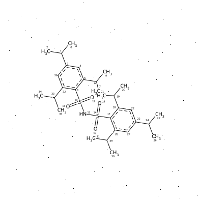 CC(C)c1cc(C(C)C)c(S(=O)(=O)NS(=O)(=O)c2c(C(C)C)cc(C(C)C)cc2C(C)C)c(C(C)C)c1